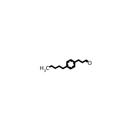 CCCCCc1ccc(CCC=O)cc1